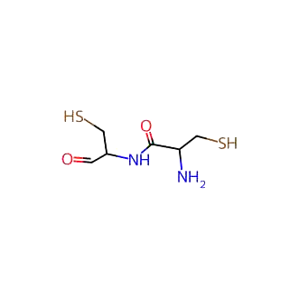 NC(CS)C(=O)NC(C=O)CS